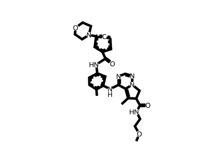 COCCNC(=O)C1CN2N=CN=C(Nc3cc(NC(=O)c4cccc(N5CCOCC5)c4)ccc3C)C2=C1C